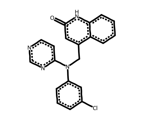 O=c1cc(CN(c2cccc(Cl)c2)c2ccncn2)c2ccccc2[nH]1